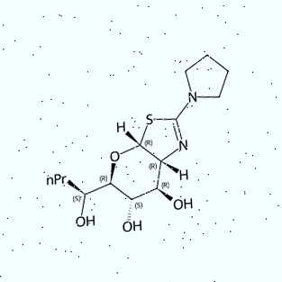 CCC[C@H](O)[C@H]1O[C@@H]2SC(N3CCCC3)=N[C@@H]2[C@@H](O)[C@@H]1O